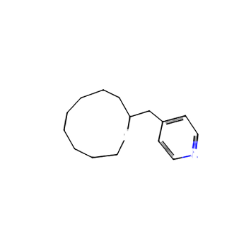 c1cc(C[C]2CCCCCCCCC2)ccn1